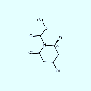 CC[C@H]1CC(O)CC(=O)N1C(=O)OC(C)(C)C